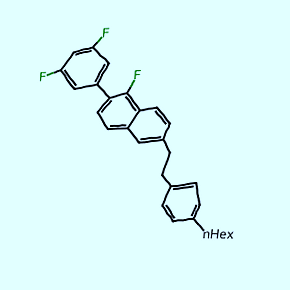 CCCCCCc1ccc(CCc2ccc3c(F)c(-c4cc(F)cc(F)c4)ccc3c2)cc1